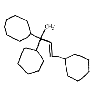 [CH2]C(/C=C/C1CCCCC1)(C1CCCCC1)C1CCCCC1